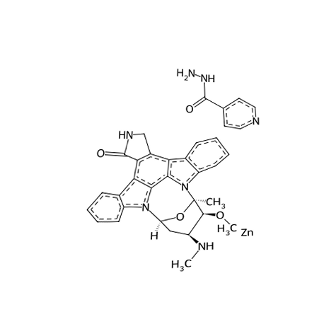 CN[C@H]1C[C@@H]2O[C@](C)([C@H]1OC)n1c3ccccc3c3c4c(c5c6ccccc6n2c5c31)C(=O)NC4.NNC(=O)c1ccncc1.[Zn]